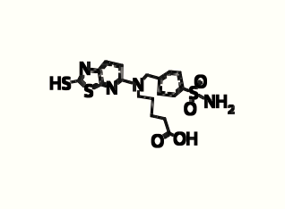 NS(=O)(=O)c1ccc(CN(CCCCC(=O)O)c2ccc3nc(S)sc3n2)cc1